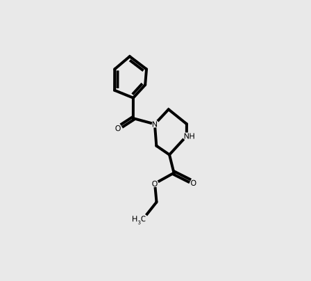 CCOC(=O)C1CN(C(=O)c2ccccc2)CCN1